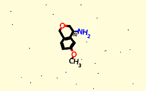 COc1ccc2c(c1)[C@H](N)COC2